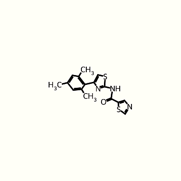 Cc1cc(C)c(-c2csc(NC(=O)c3cncs3)n2)c(C)c1